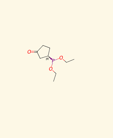 CCOP(OCC)[C@@H]1CCC(=O)C1